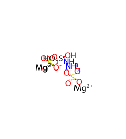 N.N.O=S(=O)(O)O.O=S(=O)([O-])[O-].O=S(=O)([O-])[O-].[Mg+2].[Mg+2]